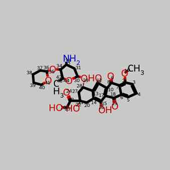 COc1cccc2c1C(=O)c1c(O)c3c(c(O)c1C2=O)C[C@@](O)(C(=O)CO)C[C@@H]3OC1CC(N)C(OC2CCCCO2)C(C)O1